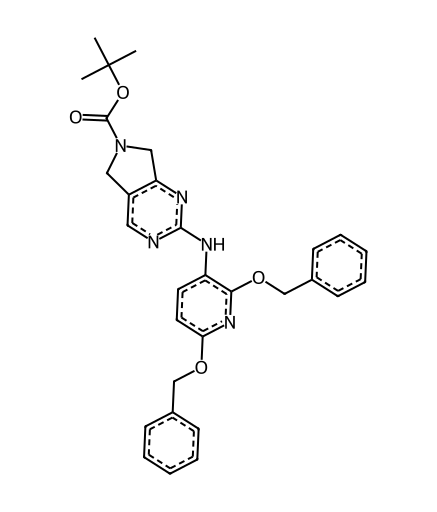 CC(C)(C)OC(=O)N1Cc2cnc(Nc3ccc(OCc4ccccc4)nc3OCc3ccccc3)nc2C1